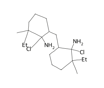 CCC1(C)CCCC(CC2CCCC(C)(CC)C2(N)Cl)C1(N)Cl